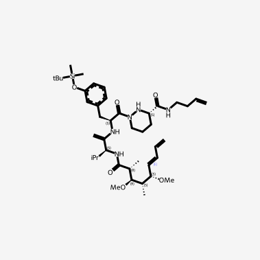 C=C/C=C/[C@H](OC)[C@H](C)[C@@H](OC)[C@@H](C)C(=O)N[C@H](C(=C)N[C@@H](Cc1cccc(O[Si](C)(C)C(C)(C)C)c1)C(=O)N1CCC[C@@H](C(=O)NCCC=C)N1)C(C)C